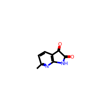 Cc1ccc2c(n1)NC(=O)C2=O